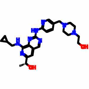 C[C@@H](O)c1cc2cnc(Nc3ccc(CN4CCN(CCO)CC4)cn3)nc2c(NCC2CC2)n1